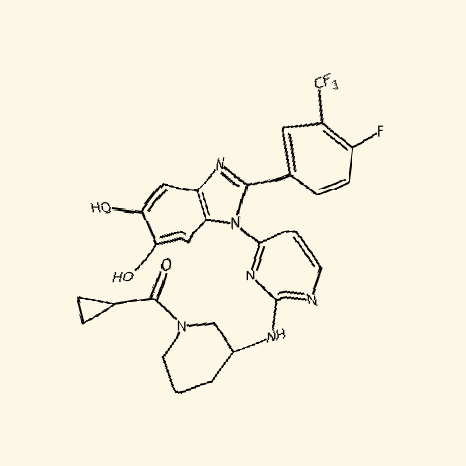 O=C(C1CC1)N1CCCC(Nc2nccc(-n3c(-c4ccc(F)c(C(F)(F)F)c4)nc4cc(O)c(O)cc43)n2)C1